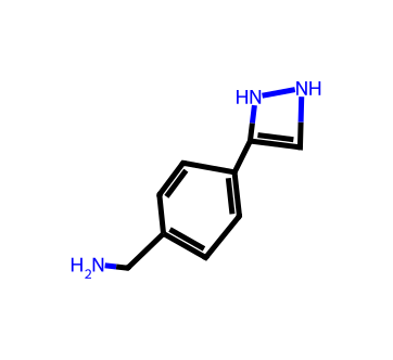 NCc1ccc(-c2c[nH][nH]2)cc1